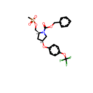 CS(=O)(=O)OC[C@@H]1C[C@H](Oc2ccc(OC(F)(F)F)cc2)CN1C(=O)OCc1ccccc1